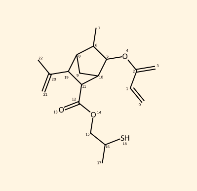 C=CC(=C)OC1C(C)C2CC1C(C(=O)OCC(C)S)C2C(=C)C